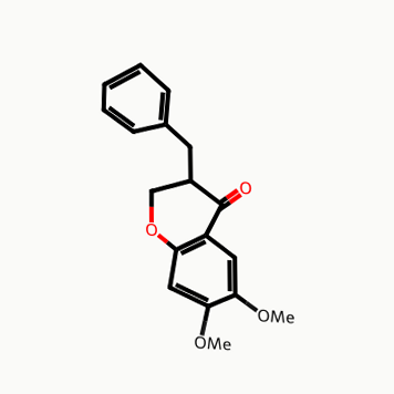 COc1cc2c(cc1OC)C(=O)C(Cc1ccccc1)CO2